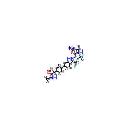 CC(C)(F)C[C@H](N[C@@H](c1ccc(-c2ccc(C(C)(C)C(=O)NC3CC3)cc2)cc1)C(F)F)C(=O)NC1(C#N)CC1